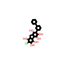 Oc1c(O)c2c(c(O)c1Cl)Cc1c(O)c(-c3cccc(-c4ccccc4)c3)c(O)c(O)c1-2